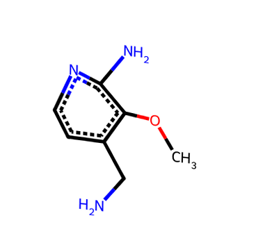 COc1c(CN)ccnc1N